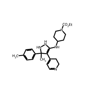 CCOC(=O)N1CCC(NC2=C(C3=CC=NCC3)C(C)(c3ccc(C)cc3)NN2)CC1